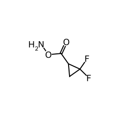 NOC(=O)C1CC1(F)F